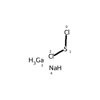 ClSCl.[GaH3].[NaH]